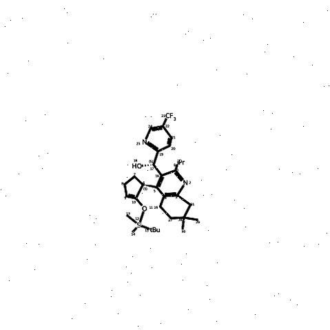 CC(C)c1nc2c(c([C@@H]3CCC=C3O[Si](C)(C)C(C)(C)C)c1[C@H](O)c1ccc(C(F)(F)F)cn1)CCC(C)(C)C2